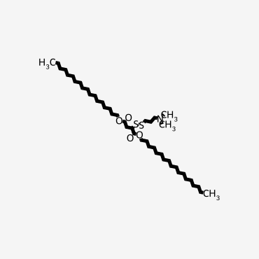 CCCCCCCCCCCCCCCCCCOC(=O)CC(SSCCCN(C)C)C(=O)OCCCCCCCCCCCCCCCCCC